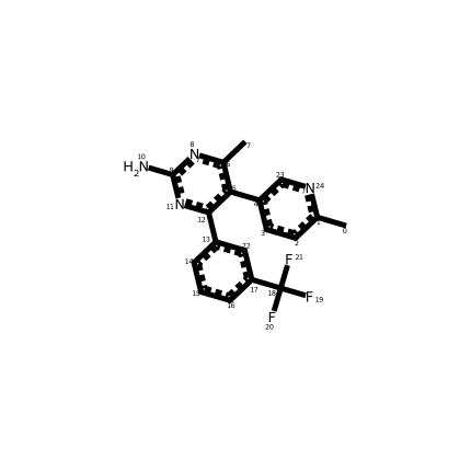 Cc1ccc(-c2c(C)nc(N)nc2-c2cccc(C(F)(F)F)c2)cn1